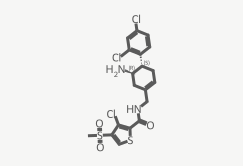 CS(=O)(=O)c1csc(C(=O)NCC2=CC[C@@H](c3ccc(Cl)cc3Cl)[C@H](N)C2)c1Cl